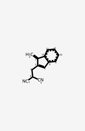 C=C1C(CC(C#N)C#N)=Cc2ccccc21